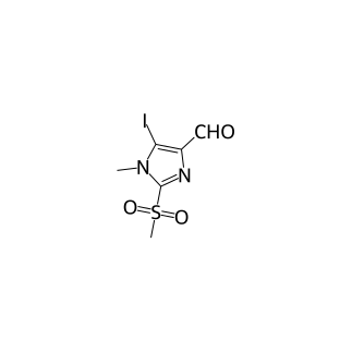 Cn1c(S(C)(=O)=O)nc(C=O)c1I